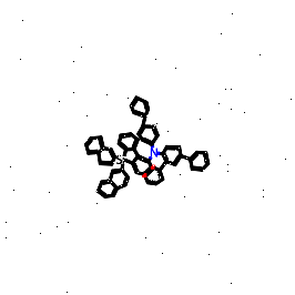 c1ccc(-c2ccc(N(c3ccc(-c4ccccc4)cc3-c3ccccc3)c3cccc4c3-c3ccccc3[Si]4(c3ccc4ccccc4c3)c3ccc4ccccc4c3)cc2)cc1